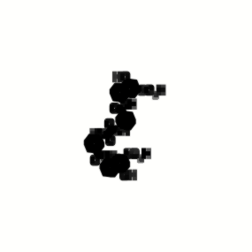 O=C(Nc1cccc(C(=O)Nc2cccc3c(O)cc(S(=O)(=O)O)cc23)c1)C(=O)Nc1cccc(C(=O)Nc2cccc3c(O)cc(S(=O)(=O)O)cc23)c1